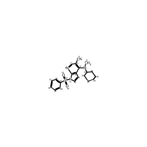 CN(c1c(C#N)cnc2c1ccn2S(=O)(=O)c1ccccc1)C1CCCCC1